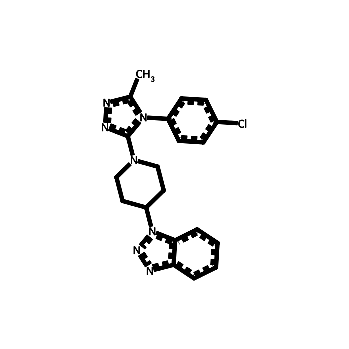 Cc1nnc(N2CCC(n3nnc4ccccc43)CC2)n1-c1ccc(Cl)cc1